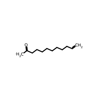 [CH2]C(=O)CCCCCCCCC=C